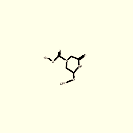 CC(C)(C)OC(=O)N1CC(=O)NC(OC=O)C1